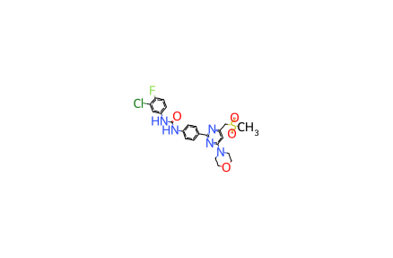 CS(=O)(=O)Cc1cc(N2CCOCC2)nc(-c2ccc(NC(=O)Nc3ccc(F)c(Cl)c3)cc2)n1